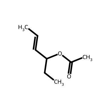 CC=CC(CC)OC(C)=O